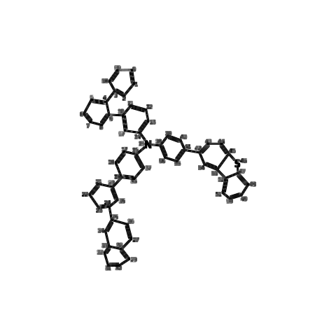 c1ccc(-c2ccccc2-c2cccc(N(c3ccc(-c4cccc(-c5ccc6ccccc6c5)c4)cc3)c3ccc(-c4ccc5sc6ccccc6c5c4)cc3)c2)cc1